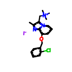 Cc1nc2c(OCc3ccccc3Cl)cccn2c1C[N+](C)(C)C.[I-]